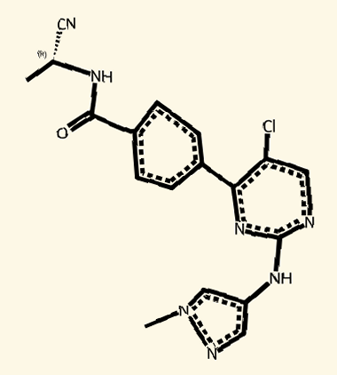 C[C@H](C#N)NC(=O)c1ccc(-c2nc(Nc3cnn(C)c3)ncc2Cl)cc1